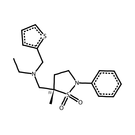 CCN(Cc1cccs1)C[C@]1(C)CCN(c2ccccc2)S1(=O)=O